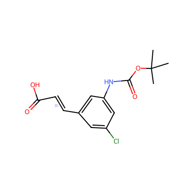 CC(C)(C)OC(=O)Nc1cc(Cl)cc(/C=C/C(=O)O)c1